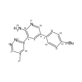 Cc1cnnc(-c2cc(-c3ccc(C(C)(C)C)cc3)cnc2N)c1